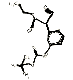 CCOC(=O)C(C=O)c1cccc(NC(=O)OC(C)(C)C)c1